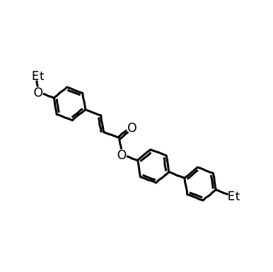 CCOc1ccc(/C=C/C(=O)Oc2ccc(-c3ccc(CC)cc3)cc2)cc1